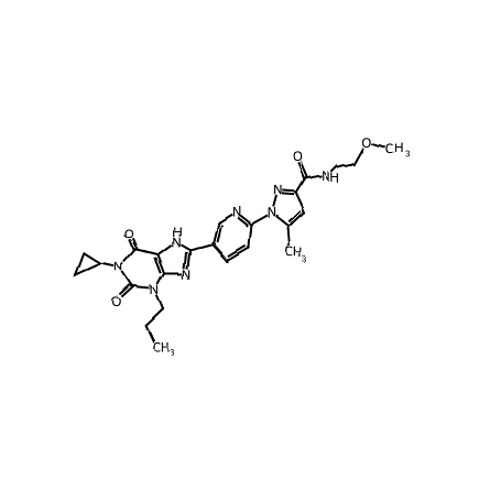 CCCn1c(=O)n(C2CC2)c(=O)c2[nH]c(-c3ccc(-n4nc(C(=O)NCCOC)cc4C)nc3)nc21